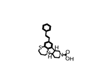 O=C(O)N1CC[C@H]2[C@@H](C1)c1cc(/C=C/c3ccccc3)cc3c1N2CCCS3